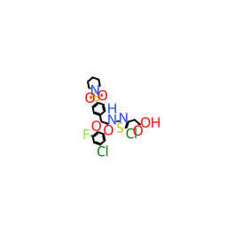 O=C(O)Cc1nc(NC(=O)C(Oc2ccc(Cl)cc2F)c2ccc(S(=O)(=O)N3CCCCC3)cc2)sc1Cl